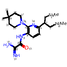 CNCC(CNC)c1ccc(NC(=O)C(=N)N)c(N2CCC(C)(C)CC2)n1